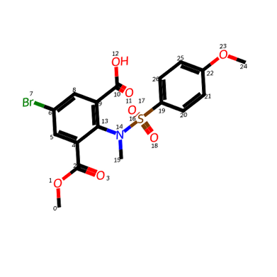 COC(=O)c1cc(Br)cc(C(=O)O)c1N(C)S(=O)(=O)c1ccc(OC)cc1